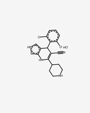 Cl.N#CC1=C(C2CCNCC2)Nc2n[nH]cc2C1c1c(Cl)cccc1Cl